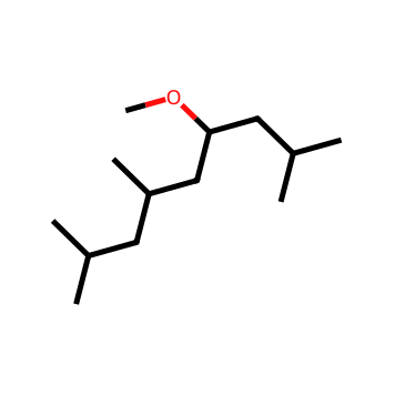 COC(CC(C)C)CC(C)CC(C)C